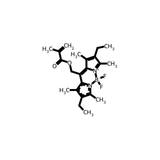 C=C(C)C(=O)OCC1=C2C(C)=C(CC)C(C)=[N+]2[B-](F)(F)n2c(C)c(CC)c(C)c21